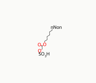 CCCCCCCCCCCCCCCOC(=O)COS(=O)(=O)O